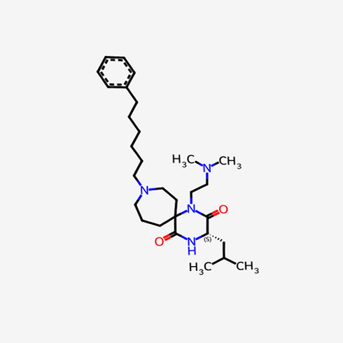 CC(C)C[C@@H]1NC(=O)C2(CCCN(CCCCCCc3ccccc3)CC2)N(CCN(C)C)C1=O